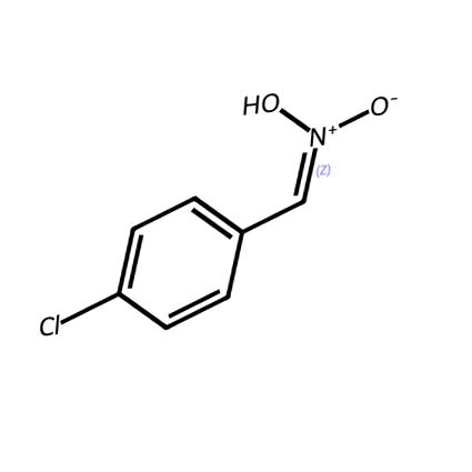 [O-]/[N+](O)=C/c1ccc(Cl)cc1